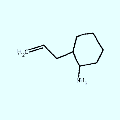 C=CCC1CCCCC1N